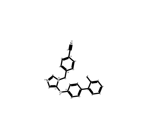 Cc1ccccc1-c1ccc(Oc2cncn2Cc2ccc(C#N)cc2)cc1